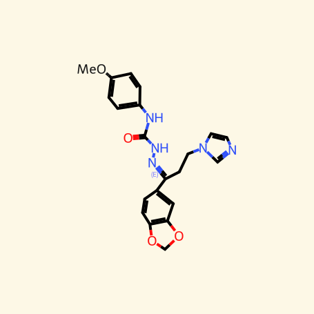 COc1ccc(NC(=O)N/N=C(\CCn2ccnc2)c2ccc3c(c2)OCO3)cc1